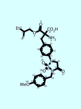 CCC(F)COC(=O)C(N)(Cc1ccc(N2CC(=O)N(Cc3ccc(OC)cc3)S2(=O)=O)cc1)C(=O)O